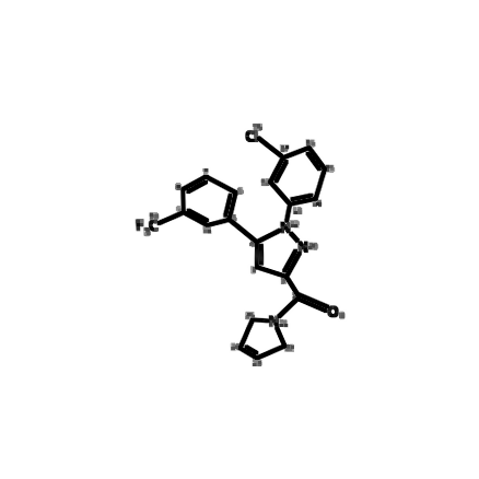 O=C(c1cc(-c2cccc(C(F)(F)F)c2)n(-c2cccc(Cl)c2)n1)N1CC=CC1